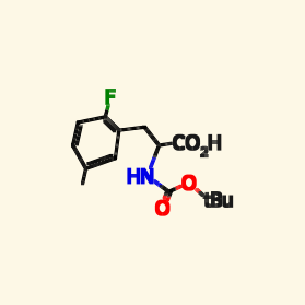 Cc1ccc(F)c(CC(NC(=O)OC(C)(C)C)C(=O)O)c1